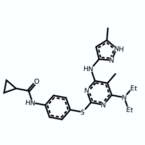 CCN(CC)c1nc(Sc2ccc(NC(=O)C3CC3)cc2)nc(Nc2cc(C)[nH]n2)c1C